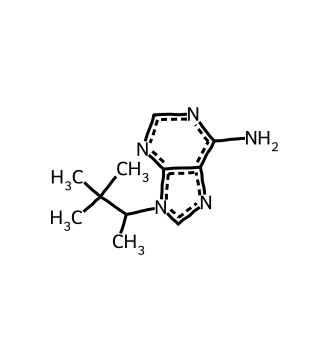 CC(n1cnc2c(N)ncnc21)C(C)(C)C